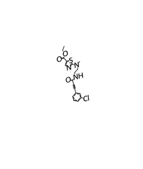 CCOC(=O)c1cnc(N(C)CCNC(=O)C#Cc2cccc(Cl)c2)s1